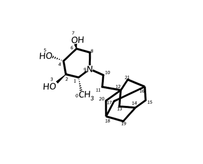 C[C@@H]1[C@@H](O)[C@H](O)[C@@H](O)CN1CCC12CC3CC(CC(C3)C1)C2